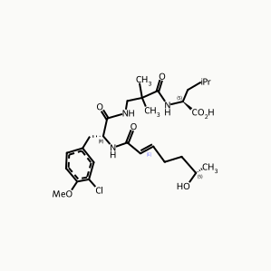 COc1ccc(C[C@@H](NC(=O)/C=C/CC[C@H](C)O)C(=O)NCC(C)(C)C(=O)N[C@@H](CC(C)C)C(=O)O)cc1Cl